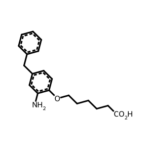 Nc1cc(Cc2ccccc2)ccc1OCCCCCC(=O)O